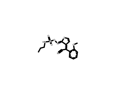 CCCNS(=O)(=O)O/N=C1\SC=C\C1=C(\C#N)c1ccccc1OC